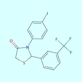 O=C1CSC(c2cccc(C(F)(F)F)c2)N1c1ccc(I)cc1